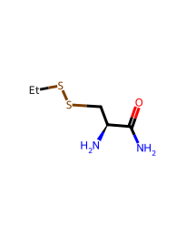 CCSSC[C@H](N)C(N)=O